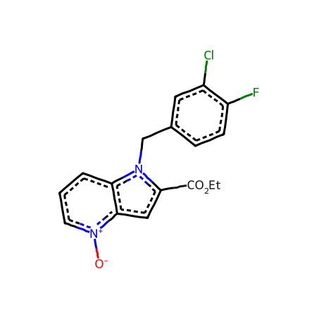 CCOC(=O)c1cc2c(ccc[n+]2[O-])n1Cc1ccc(F)c(Cl)c1